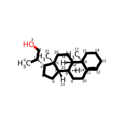 CC(CO)[C@H]1CC[C@H]2[C@@H]3CCC4=CCCC[C@]4(C)[C@H]3CC[C@]12C